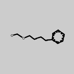 [O]COCCCCc1ccccc1